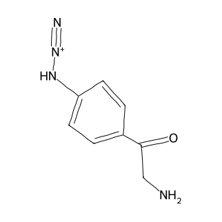 N#[N+]Nc1ccc(C(=O)CN)cc1